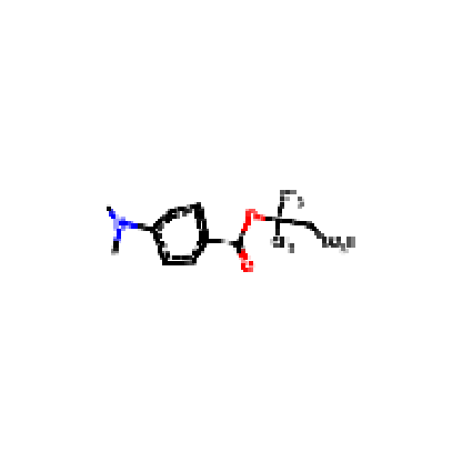 CN(C)c1ccc(C(=O)OC(CS(=O)(=O)O)(C(F)(F)F)C(F)(F)F)cc1